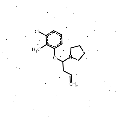 C=CCC(Oc1cccc(Cl)c1C)N1CCCC1